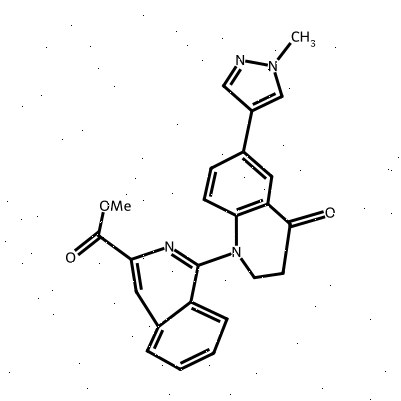 COC(=O)c1cc2ccccc2c(N2CCC(=O)c3cc(-c4cnn(C)c4)ccc32)n1